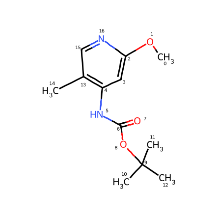 COc1cc(NC(=O)OC(C)(C)C)c(C)cn1